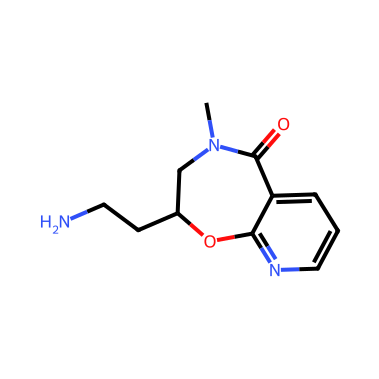 CN1CC(CCN)Oc2ncccc2C1=O